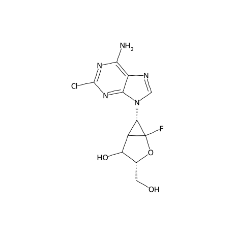 Nc1nc(Cl)nc2c1ncn2[C@H]1C2C(O)[C@@H](CO)OC21F